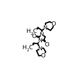 C=CC(N1CCOCC1)N1CC(=O)N(C(C=C)N2CCOCC2)C1=O